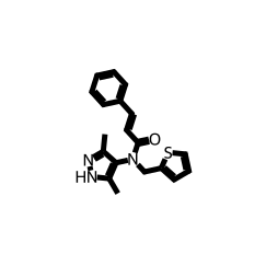 Cc1n[nH]c(C)c1N(Cc1cccs1)C(=O)C=Cc1ccccc1